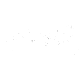 Cc1nn(C2CCOCC2)c2sc(C(=O)NC3CCC(N4CCN(C)C(=O)C4)CC3)cc12